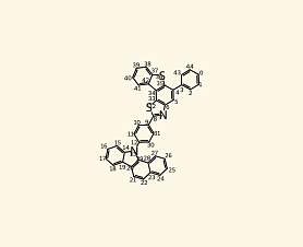 c1ccc(-c2cc3nc(-c4ccc(-n5c6ccccc6c6ccc7ccccc7c65)cc4)sc3c3c2sc2ccccc23)cc1